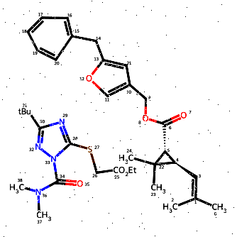 CC(C)=C[C@@H]1[C@@H](C(=O)OCc2coc(Cc3ccccc3)c2)C1(C)C.CCOC(=O)CSc1nc(C(C)(C)C)nn1C(=O)N(C)C